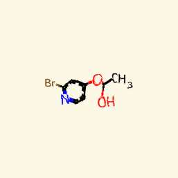 CC(O)Oc1ccnc(Br)c1